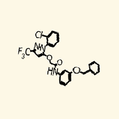 O=C(COc1cc(C(F)(F)F)nn1-c1ccccc1Cl)Nc1cccc(OCc2ccccc2)c1